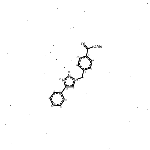 COC(=O)c1ccc(Cn2cc(-c3ccccc3)nn2)cc1